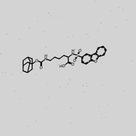 O=C(NCCCCC(NS(=O)(=O)c1ccc2oc3ccccc3c2c1)C(=O)O)OC12CC3CC(CC(C3)C1)C2